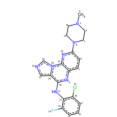 CN1CCN(c2ccc3nc(Nc4c(F)cccc4Cl)c4cncn4c3n2)CC1